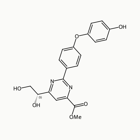 COC(=O)c1cc([C@H](O)CO)nc(-c2ccc(Oc3ccc(O)cc3)cc2)n1